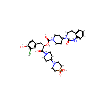 O=C(O[C@H](Cc1ccc(O)c(Br)c1)C(=O)N1CCC(N2CCS(=O)(=O)CC2)CC1)N1CCC(N2CCc3ccccc3NC2=O)CC1